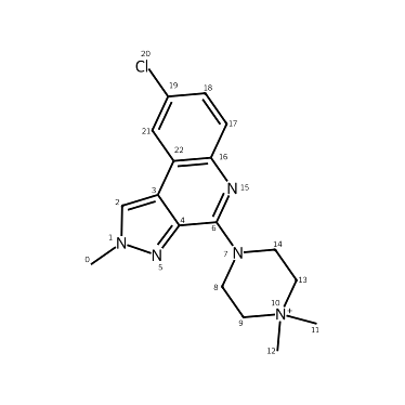 Cn1cc2c(n1)c(N1CC[N+](C)(C)CC1)nc1ccc(Cl)cc12